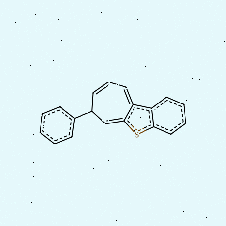 C1=CC(c2ccccc2)C=c2sc3ccccc3c2=C1